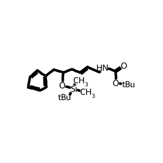 CC(C)(C)OC(=O)NCC=CCC(Cc1ccccc1)O[Si](C)(C)C(C)(C)C